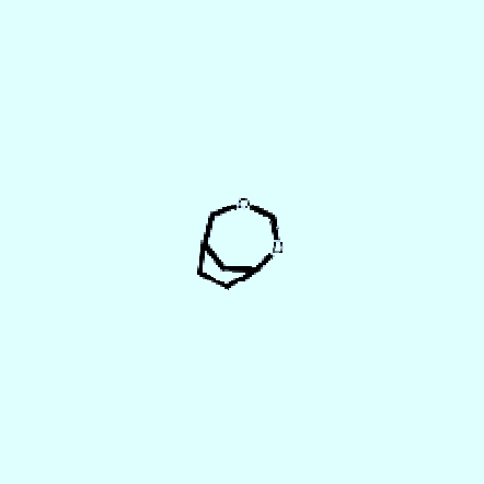 C1OCC2CCC(C2)O1